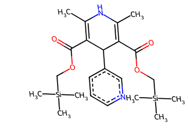 CC1=C(C(=O)OC[Si](C)(C)C)C(c2cccnc2)C(C(=O)OC[Si](C)(C)C)=C(C)N1